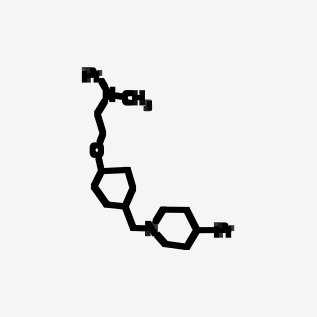 CC(C)C1CCN(CC2CCC(OCCN(C)C(C)C)CC2)CC1